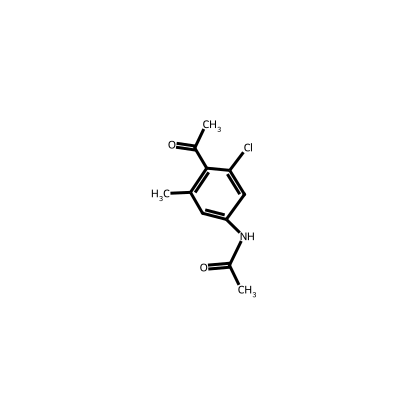 CC(=O)Nc1cc(C)c(C(C)=O)c(Cl)c1